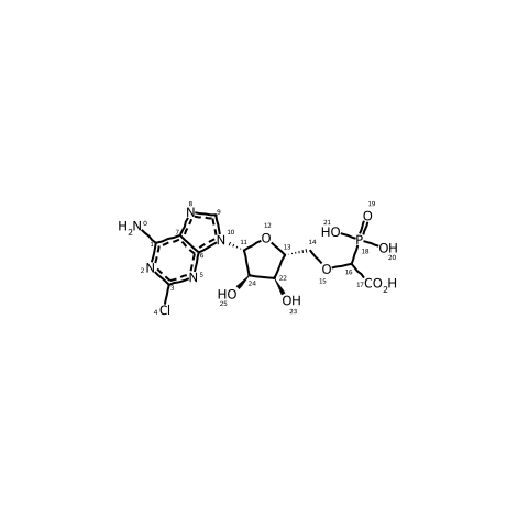 Nc1nc(Cl)nc2c1ncn2[C@@H]1O[C@H](COC(C(=O)O)P(=O)(O)O)[C@@H](O)[C@H]1O